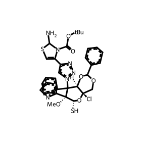 CO[C@@]1(c2nccs2)[C@@H](S)O[C@@]2(Cl)COC(c3ccccc3)O[C@@H]2C1(c1cccnc1)n1cc(C2=CSC(N)N2C(=O)OC(C)(C)C)nn1